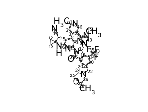 Cc1cc(-c2cc(NC3(CC#N)CC3)nc(N3Cc4c(cc(CN5CCO[C@H](C)C5)cc4C(F)(F)F)C3=O)c2)c(-c2nncn2C)cn1